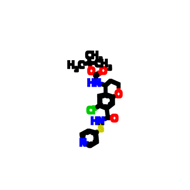 CC(C)(C)OC(=O)NC1CCOc2cc(C(=O)NSc3ccncc3)c(Cl)cc21